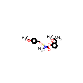 COc1ccc(COSN(C)C(=O)Oc2cccc3c2OC(C)(C)C3)cc1